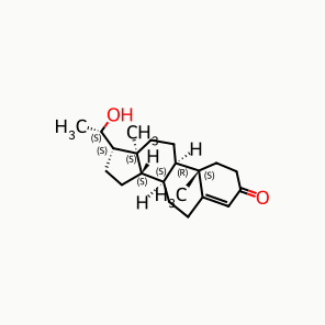 C[C@H](O)[C@H]1CC[C@H]2[C@@H]3CCC4=CC(=O)CC[C@@]4(C)[C@@H]3CC[C@]12C